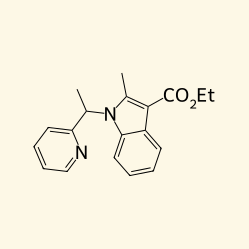 CCOC(=O)c1c(C)n(C(C)c2ccccn2)c2ccccc12